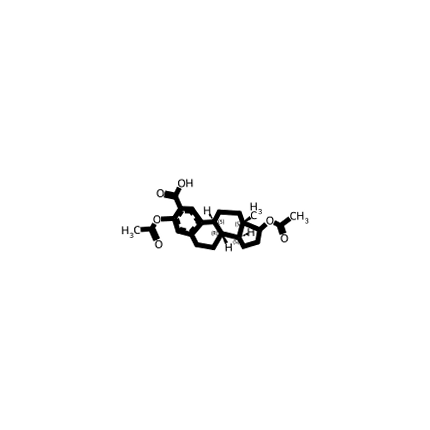 CC(=O)Oc1cc2c(cc1C(=O)O)[C@H]1CC[C@]3(C)C(OC(C)=O)CC[C@H]3[C@@H]1CC2